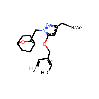 C=C/C(=C\C)COc1cc(CNC)nn1CC1OC2CCC1CC2